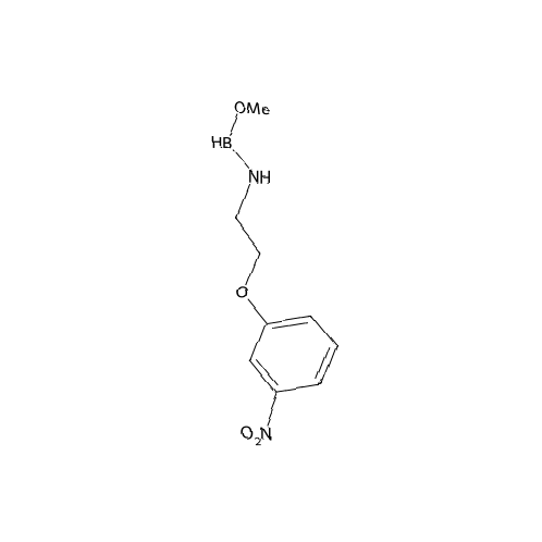 COBNCCOc1cccc([N+](=O)[O-])c1